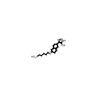 N#Cc1[nH]nnc1-c1ccc2cc(OCCCCCC(=O)O)ccc2c1